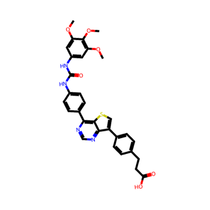 COc1cc(NC(=O)Nc2ccc(-c3ncnc4c(-c5ccc(CCC(=O)O)cc5)csc34)cc2)cc(OC)c1OC